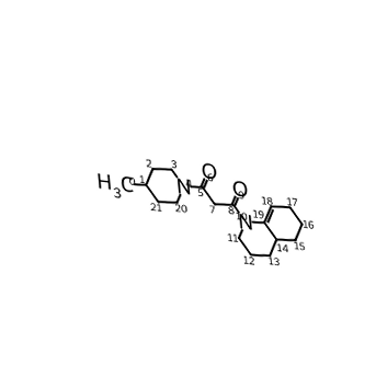 CC1CCN(C(=O)CC(=O)N2CCCC3CCCC=C32)CC1